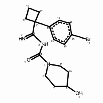 N=C(NC(=O)N1CCC(O)CC1)C1(c2ccc(Br)cc2)CCC1